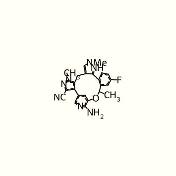 CN/C=C1/Cc2c(c(C#N)nn2C)-c2cnc(N)c(c2)OC(C)c2cc(F)ccc2C1=N